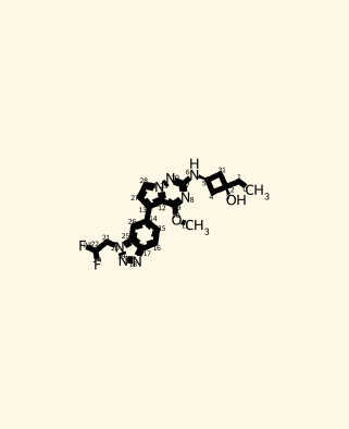 CC[C@]1(O)C[C@@H](Nc2nc(OC)c3c(-c4ccc5nnn(CC(F)F)c5c4)ccn3n2)C1